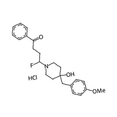 COc1ccc(CC2(O)CCN(C(F)CCC(=O)c3ccccc3)CC2)cc1.Cl